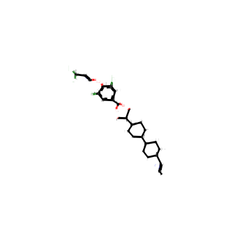 C/C=C/C1CCC(C2CCC(C3COC(c4cc(F)c(O/C=C/C(F)F)c(F)c4)OC3)CC2)CC1